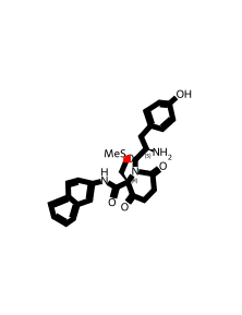 CSCC[C@]1(C(=O)Nc2ccc3ccccc3c2)C(=O)CCC(=O)N1C(=O)[C@@H](N)Cc1ccc(O)cc1